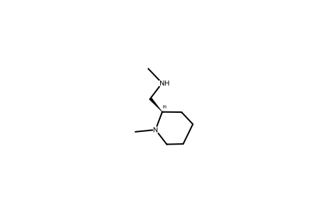 CNC[C@H]1CCCCN1C